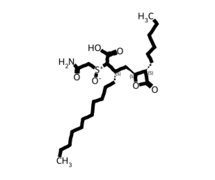 CCCCCCCCCCC[C@@H](C[C@@H]1OC(=O)[C@H]1CCCCCC)C(C(=O)O)[S+]([O-])CC(N)=O